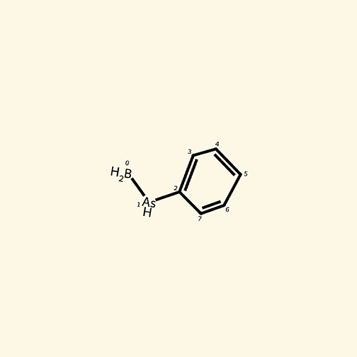 B[AsH]c1ccccc1